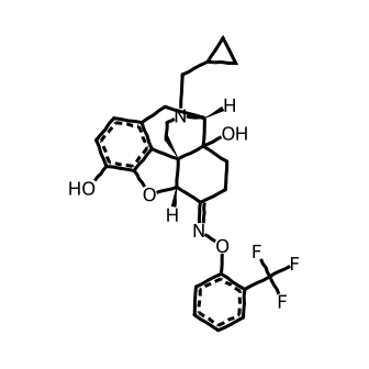 Oc1ccc2c3c1O[C@H]1C(=NOc4ccccc4C(F)(F)F)CCC4(O)[C@@H](C2)N(CC2CC2)CC[C@]314